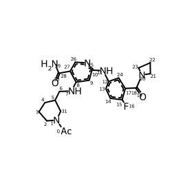 CC(=O)N1CCCC(CNc2cc(Nc3ccc(F)c(C(=O)N4CCC4)c3)ncc2C(N)=O)C1